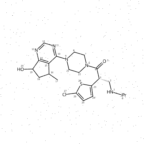 CC(C)NC[C@@H](C(=O)N1CCN(c2ncnc3c2C(C)CC3O)CC1)c1ccc(Cl)s1